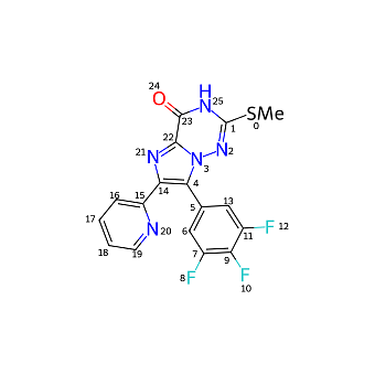 CSc1nn2c(-c3cc(F)c(F)c(F)c3)c(-c3ccccn3)nc2c(=O)[nH]1